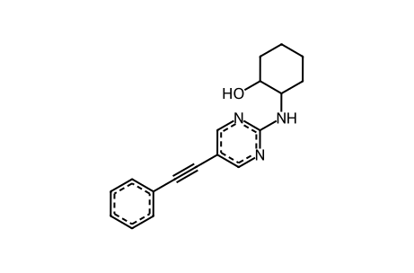 OC1CCCCC1Nc1ncc(C#Cc2ccccc2)cn1